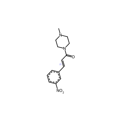 CN1CCN(C(=O)/C=C/c2cccc([N+](=O)[O-])c2)CC1